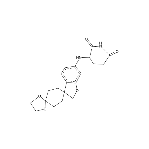 O=C1CCC(Nc2ccc3c(c2)OCC32CCC3(CC2)OCCO3)C(=O)N1